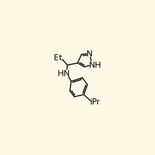 CCC(Nc1ccc(C(C)C)cc1)c1cn[nH]c1